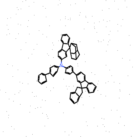 c1ccc(-c2ccc(N(c3ccc(-c4ccc5c(c4)C4(Cc6ccccc6C4)c4ccccc4-5)cc3)c3ccc4c(c3)C3(c5ccccc5-4)C4CC5CC(C4)CC3C5)cc2)cc1